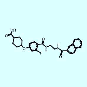 O=C(NCCNC(=O)c1ccc(OC2CCC(C(=O)O)CC2)cc1F)c1ccc2ccccc2c1